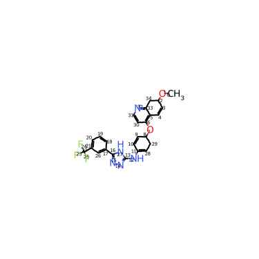 COC1C=Cc2c(OC3C=CC(Nc4nnc(-c5cccc(C(F)(F)F)c5)[nH]4)=CC3)ccnc2C1